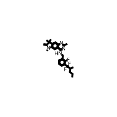 C=C1N(C)c2cc3c(NCc4cccc(C(F)(F)C(C)CCC)c4F)nc(C)nc3cc2C1(C)C